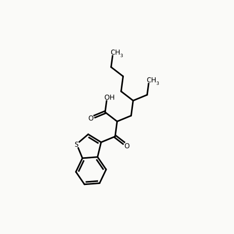 CCCCC(CC)CC(C(=O)O)C(=O)c1csc2ccccc12